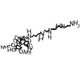 COc1cc(C2c3cc4c(cc3[C@@H](NC(=O)NCCCCNCCCNCCCCNCCCN)[C@H]3COC(=O)[C@H]23)OCO4)cc(OC)c1O